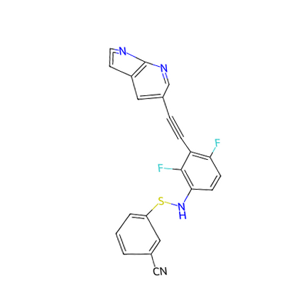 N#Cc1cccc(SNc2ccc(F)c(C#Cc3cnc4c(c3)C=C=N4)c2F)c1